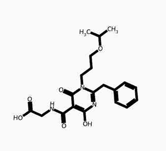 CC(C)OCCCn1c(Cc2ccccc2)nc(O)c(C(=O)NCC(=O)O)c1=O